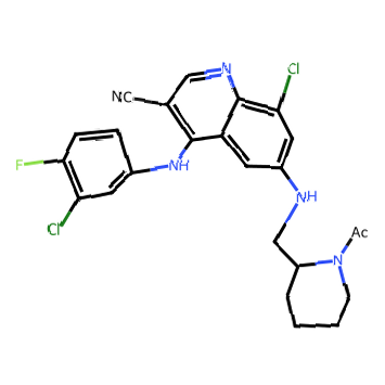 CC(=O)N1CCCCC1CNc1cc(Cl)c2ncc(C#N)c(Nc3ccc(F)c(Cl)c3)c2c1